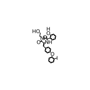 O=C(NCCO)C(=Cc1ccc(Oc2ccccc2I)cc1)NC(=O)c1ccccc1O